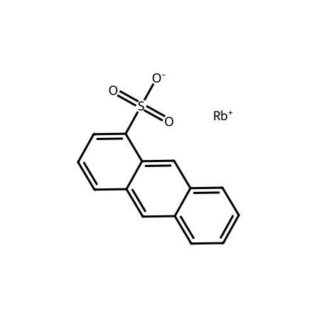 O=S(=O)([O-])c1cccc2cc3ccccc3cc12.[Rb+]